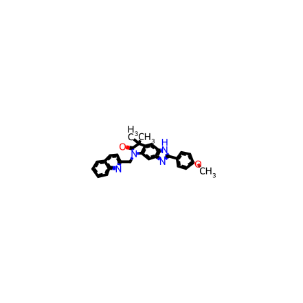 COc1ccc(-c2nc3cc4c(cc3[nH]2)C(C)(C)C(=O)N4Cc2ccc3ccccc3n2)cc1